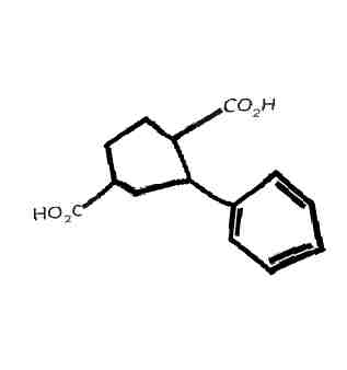 O=C(O)C1CCC(C(=O)O)C(c2ccccc2)C1